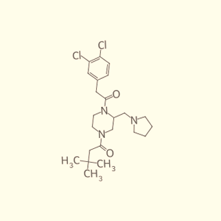 CC(C)(C)CC(=O)N1CCN(C(=O)Cc2ccc(Cl)c(Cl)c2)C(CN2CCCC2)C1